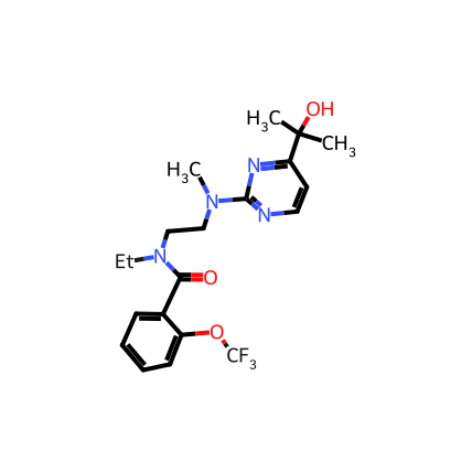 CCN(CCN(C)c1nccc(C(C)(C)O)n1)C(=O)c1ccccc1OC(F)(F)F